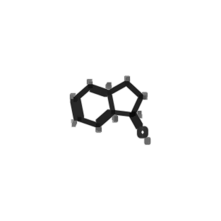 O=C1CCc2cc#ccc21